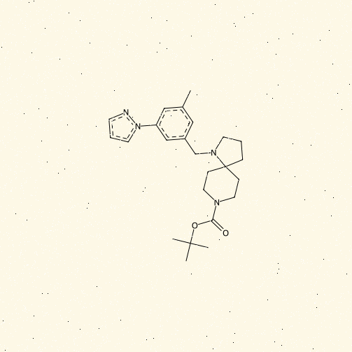 Cc1cc(CN2CCCC23CCN(C(=O)OC(C)(C)C)CC3)cc(-n2cccn2)c1